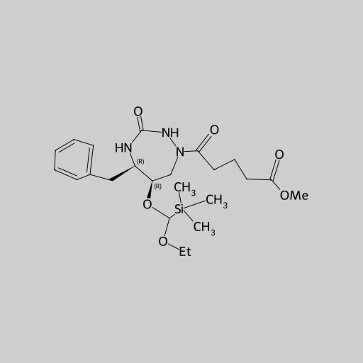 CCOC(O[C@@H]1CN(C(=O)CCCC(=O)OC)NC(=O)N[C@@H]1Cc1ccccc1)[Si](C)(C)C